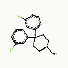 CCCC1CCC(c2cccc(F)c2)(c2cccc(F)c2)CC1